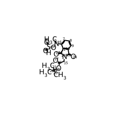 CN(O[SH](=O)=O)c1cccc2c1C(=O)N(CC(=O)OC(C)(C)C)C2=O